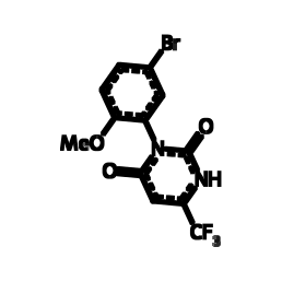 COc1ccc(Br)cc1-n1c(=O)cc(C(F)(F)F)[nH]c1=O